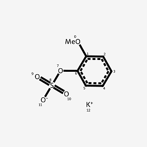 COc1ccccc1OS(=O)(=O)[O-].[K+]